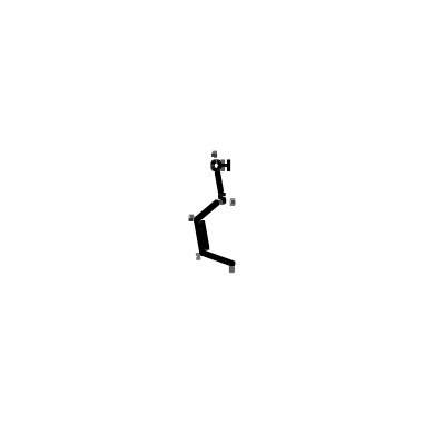 C/C=C\SO